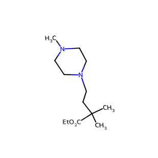 CCOC(=O)C(C)(C)CCN1CCN(C)CC1